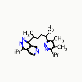 Cc1c(C(C)C)nnc(C(C)CCC(C)c2nnc(C(C)C)c3ccncc23)c1C